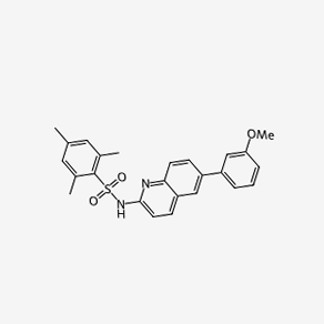 COc1cccc(-c2ccc3nc(NS(=O)(=O)c4c(C)cc(C)cc4C)ccc3c2)c1